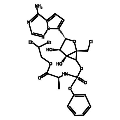 CCC(CC)COC(=O)[C@H](C)NP(=O)(Oc1ccccc1)OC1[C@@]2(CCl)O[C@@H](c3ccc4c(N)ncnn34)[C@H](O)[C@@]12O